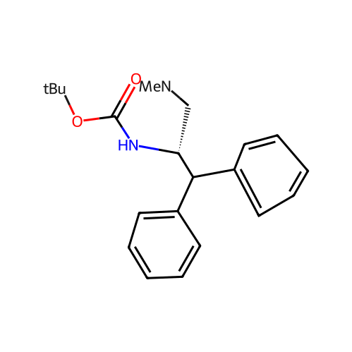 CNC[C@@H](NC(=O)OC(C)(C)C)C(c1ccccc1)c1ccccc1